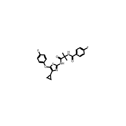 CC(C)(NC(=O)c1ccc(F)cc1)C(=O)Nc1nc(C2CC2)c(Oc2ccc(F)cc2)s1